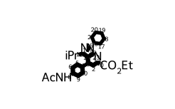 CCOC(=O)c1cc(-c2ccc(NC(C)=O)cc2)c2c(C(C)C)nn(C3CCCCC3)c2n1